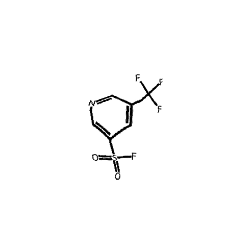 O=S(=O)(F)c1cncc(C(F)(F)F)c1